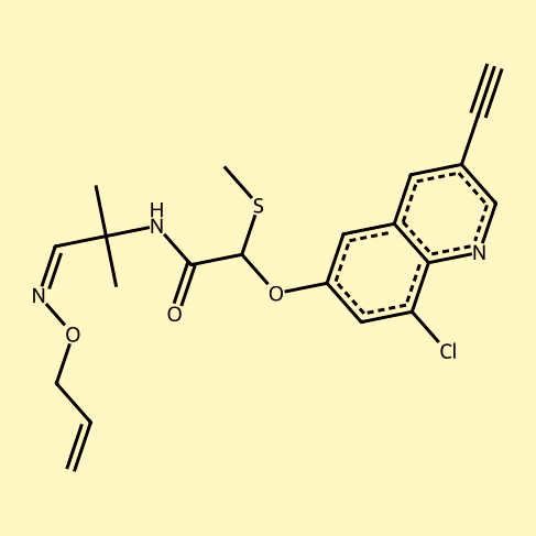 C#Cc1cnc2c(Cl)cc(OC(SC)C(=O)NC(C)(C)/C=N\OCC=C)cc2c1